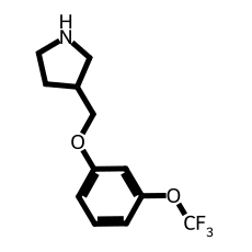 FC(F)(F)Oc1cccc(OCC2CCNC2)c1